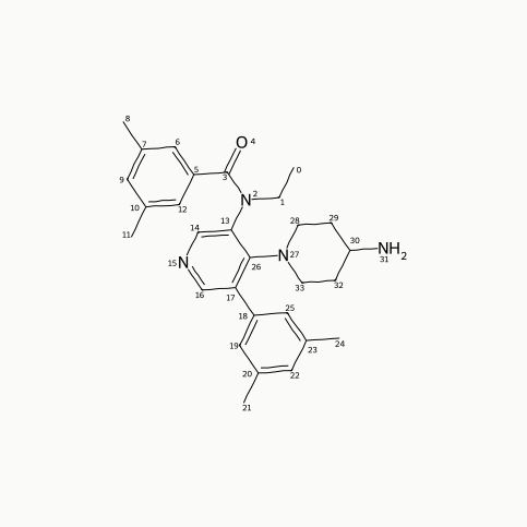 CCN(C(=O)c1cc(C)cc(C)c1)c1cncc(-c2cc(C)cc(C)c2)c1N1CCC(N)CC1